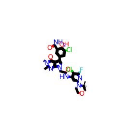 Cc1nc2c(c(-c3cc(Cl)c(O)c(C(N)=O)c3)cn2CC(=O)Nc2cc(N3CCOC[C@@H]3C)nc(F)c2Cl)c(=O)n1C